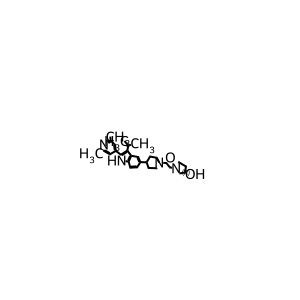 Cc1cc(-c2[nH]c3ccc(C4CCN(C(=O)CN5CC[C@@H](O)C5)CC4)cc3c2C(C)C)cc(C)n1